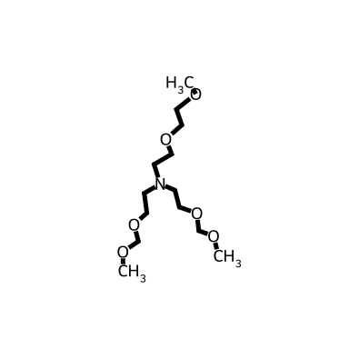 COCCOCCN(CCOCOC)CCOCOC